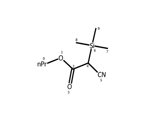 CCCOC(=O)C(C#N)[Si](C)(C)C